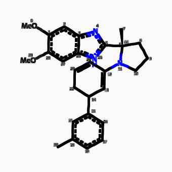 COc1cc2nc([C@]3(C)CCCN3C3=[C]C(c4cccc(C)c4)CC=C3)[nH]c2cc1OC